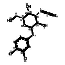 [N-]=[N+]=N[C@@H]1[C@@H](O)[C@@H](Sc2ccc(Cl)c(Cl)c2)O[C@H](CO)[C@@H]1O